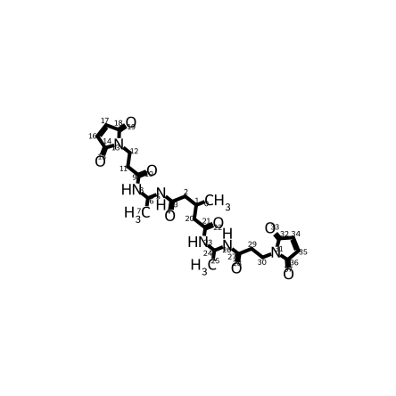 CC(CC(=O)NC(C)NC(=O)CCN1C(=O)C=CC1=O)CC(=O)NC(C)NC(=O)CCN1C(=O)C=CC1=O